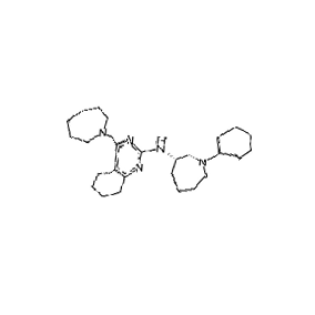 C1CCC(N2CCCC[C@H](Nc3nc4c(c(N5CCCCCC5)n3)CCCC4)C2)CC1